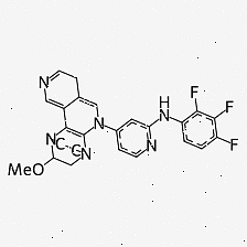 COC1CN2CCN1C1=C2N(c2ccnc(Nc3ccc(F)c(F)c3F)c2)C=C2CC=NC=C21